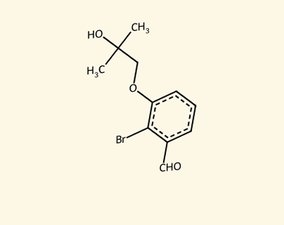 CC(C)(O)COc1cccc(C=O)c1Br